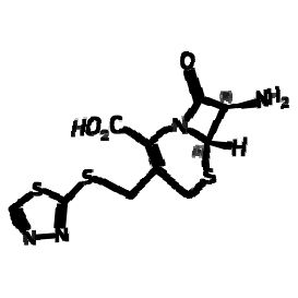 N[C@@H]1C(=O)N2C(C(=O)O)=C(CSc3nncs3)CS[C@@H]12